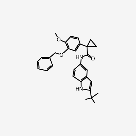 COc1ccc(C2(C(=O)Nc3ccc4[nH]c(C(C)(C)C)cc4c3)CC2)cc1OCc1ccccc1